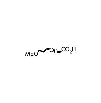 COCCC=C=C=CC(=O)O